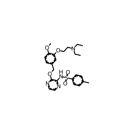 CCN(CC)CCOc1cc(COc2nccnc2NS(=O)(=O)c2ccc(C)cc2)ccc1OC